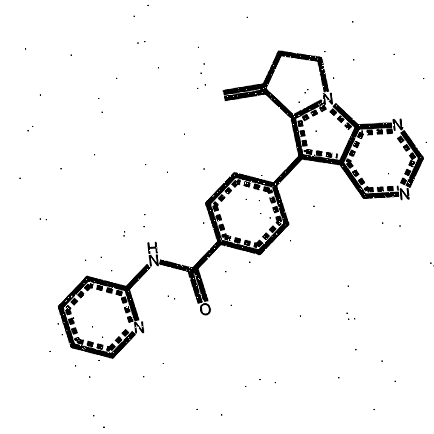 C=C1CCn2c1c(-c1ccc(C(=O)Nc3ccccn3)cc1)c1cncnc12